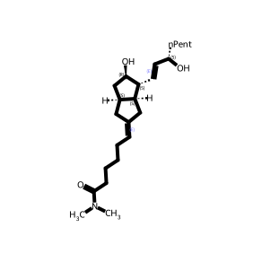 CCCCC[C@H](O)/C=C/[C@@H]1[C@H]2C/C(=C/CCCCC(=O)N(C)C)C[C@H]2C[C@H]1O